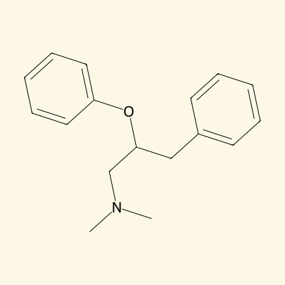 CN(C)CC(Cc1ccccc1)Oc1ccccc1